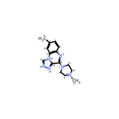 Cc1ccc2nc(N3CCN(C)CC3)c3nncn3c2c1